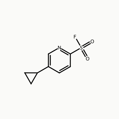 O=S(=O)(F)c1ccc(C2CC2)cn1